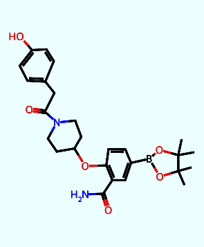 CC1(C)OB(c2ccc(OC3CCN(C(=O)Cc4ccc(O)cc4)CC3)c(C(N)=O)c2)OC1(C)C